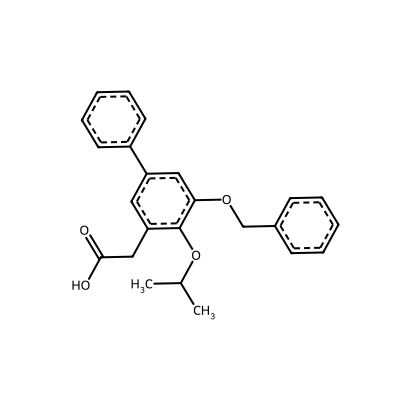 CC(C)Oc1c(CC(=O)O)cc(-c2ccccc2)cc1OCc1ccccc1